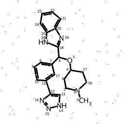 CN1CCC(OC(c2cccc(-c3c[nH]nn3)c2)c2nc3ccccc3[nH]2)CC1